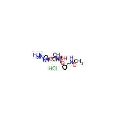 CC(=O)NCCc1ccccc1OCC(O)CNC(C)(C)COc1ccc(NN)nn1.Cl